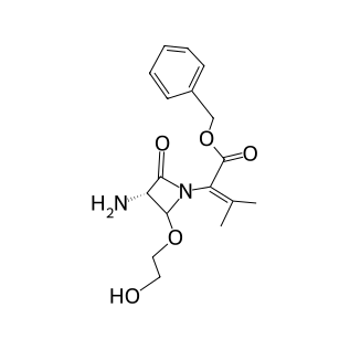 CC(C)=C(C(=O)OCc1ccccc1)N1C(=O)[C@@H](N)C1OCCO